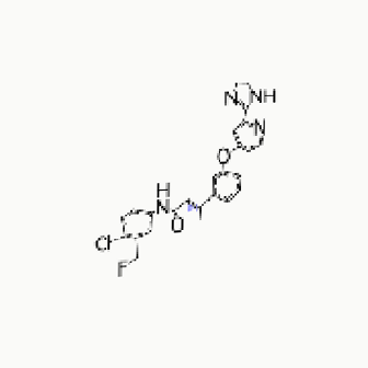 C/C(=C\C(=O)Nc1ccc(Cl)c(CF)c1)c1cccc(Oc2ccnc(C3=NCCN3)c2)c1